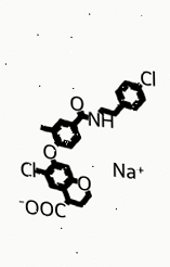 Cc1cc(C(=O)NCCc2ccc(Cl)cc2)ccc1Oc1cc2c(cc1Cl)C(C(=O)[O-])CCO2.[Na+]